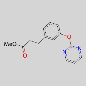 COC(=O)CCc1cccc(Oc2ncccn2)c1